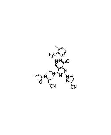 C=CC(=O)N1CCN(c2nc(-n3ccc(C#N)n3)nc3c(=O)n(-c4cccc(C)c4C(F)(F)F)ncc23)CC1CC#N